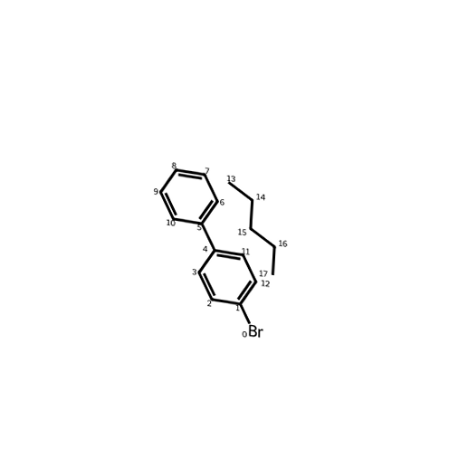 Brc1ccc(-c2ccccc2)cc1.CCCCC